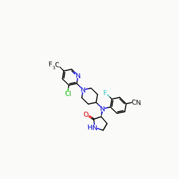 N#Cc1ccc(N(C2CCN(c3ncc(C(F)(F)F)cc3Cl)CC2)[C@H]2CCNC2=O)c(F)c1